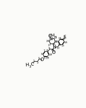 CCCCOc1ccc(CC(=O)N(Cc2ccc(F)cc2)C2CCN(C)CC2)cc1